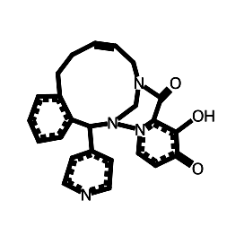 O=C1c2c(O)c(=O)ccn2N2CN1C/C=C\CCc1ccccc1C2c1ccncc1